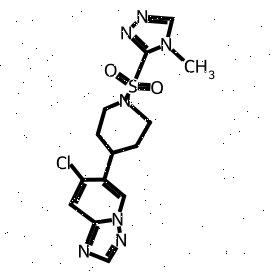 Cn1cnnc1S(=O)(=O)N1CCC(c2cn3ncnc3cc2Cl)CC1